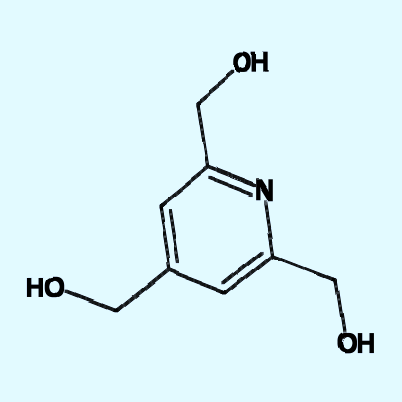 OCc1cc(CO)nc(CO)c1